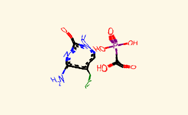 Nc1nc(=O)[nH]cc1F.O=C(O)P(=O)(O)O